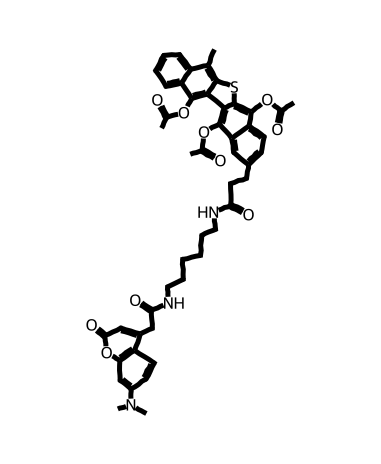 CC(=O)Oc1c2ccc(CCC(=O)NCCCCCCNC(=O)Cc3cc(=O)oc4cc(N(C)C)ccc34)cc2c(OC(C)=O)c2c1sc1c(C)c3ccccc3c(OC(C)=O)c12